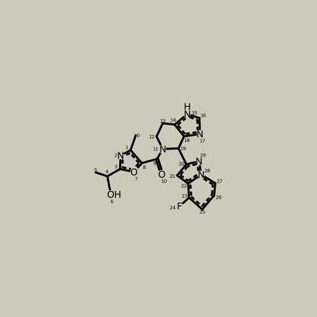 Cc1nc(C(C)O)oc1C(=O)N1CCc2[nH]cnc2C1c1cc2c(F)cccn2n1